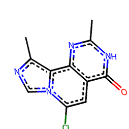 Cc1nc2c(cc(Cl)n3cnc(C)c23)c(=O)[nH]1